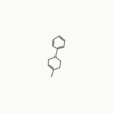 FC1=CCN(c2ccccc2)CC1